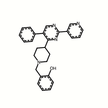 Oc1ccccc1CN1CCC(c2nc(-c3cccnc3)ncc2-c2ccccc2)CC1